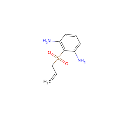 C=CCS(=O)(=O)c1c(N)cccc1N